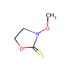 CON1CCOC1=S